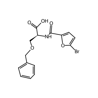 O=C(N[C@@H](COCc1ccccc1)C(=O)O)c1ccc(Br)o1